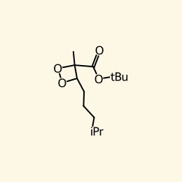 CC(C)CCCC1OOC1(C)C(=O)OC(C)(C)C